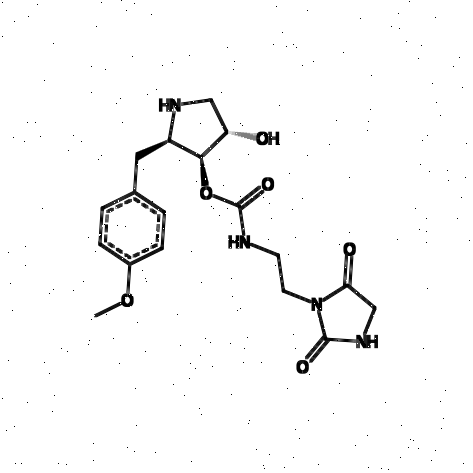 COc1ccc(C[C@H]2NC[C@H](O)[C@H]2OC(=O)NCCN2C(=O)CNC2=O)cc1